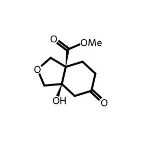 COC(=O)[C@@]12CCC(=O)C[C@]1(O)COC2